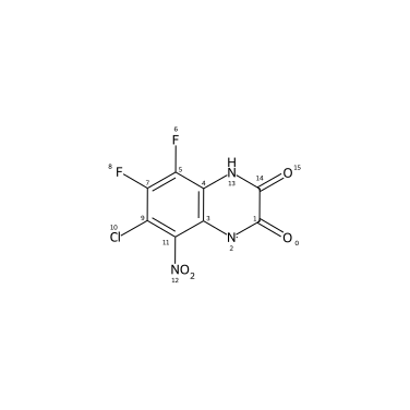 O=C1[N]c2c(c(F)c(F)c(Cl)c2[N+](=O)[O-])NC1=O